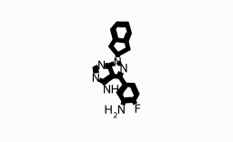 Nc1cc(-c2nn(C3Cc4ccccc4C3)c3ncnc(N)c23)ccc1F